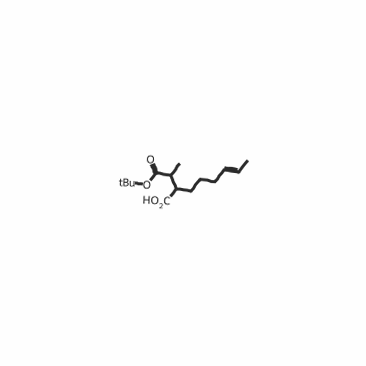 CC=CCCCC(C(=O)O)C(C)C(=O)OC(C)(C)C